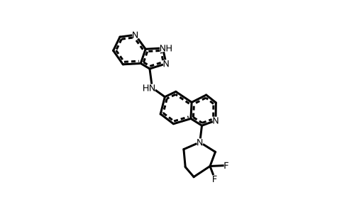 FC1(F)CCCN(c2nccc3cc(Nc4n[nH]c5ncccc45)ccc23)C1